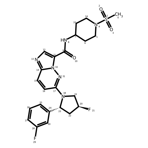 CS(=O)(=O)N1CCC(NC(=O)c2cnc3ccc(N4C[C@@H](F)C[C@@H]4c4cccc(F)c4)nn23)CC1